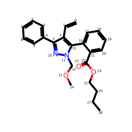 C=Cc1c(-c2ccccc2)nn(COC)c1-c1ccccc1C(=O)OCCCC